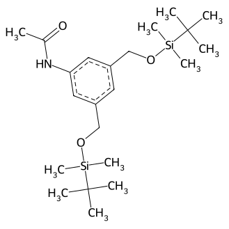 CC(=O)Nc1cc(CO[Si](C)(C)C(C)(C)C)cc(CO[Si](C)(C)C(C)(C)C)c1